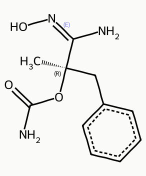 C[C@](Cc1ccccc1)(OC(N)=O)/C(N)=N\O